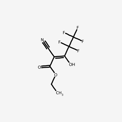 CCOC(=O)C(C#N)=C(O)C(F)(F)C(F)(F)F